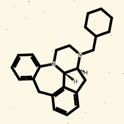 c1ccc2c(c1)Cc1cccc3c1[C@H]1[C@H](C3)N(CC3CCCCC3)CCN21